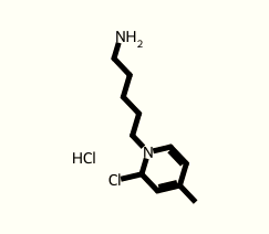 CC1=CC(Cl)N(CCCCCN)C=C1.Cl